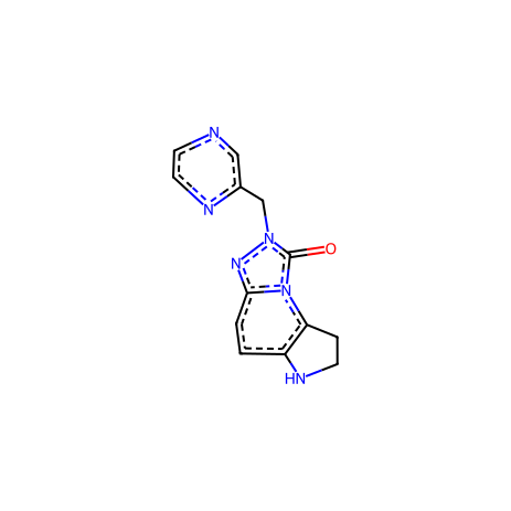 O=c1n(Cc2cnccn2)nc2ccc3c(n12)CCN3